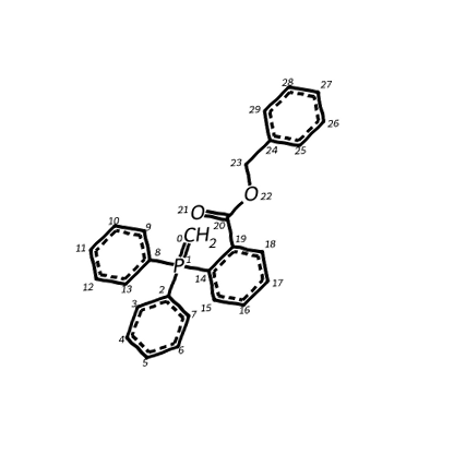 C=P(c1ccccc1)(c1ccccc1)c1ccccc1C(=O)OCc1ccccc1